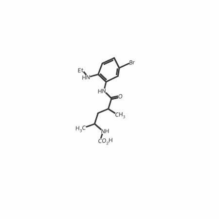 CCNc1ccc(Br)cc1NC(=O)C(C)CC(C)NC(=O)O